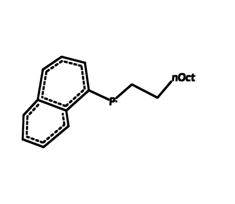 CCCCCCCCCC[P]c1cccc2ccccc12